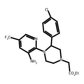 CCOC(=O)CN1CCN(c2ncc(C(F)(F)F)cc2N)C(c2ccc(Cl)cc2)C1